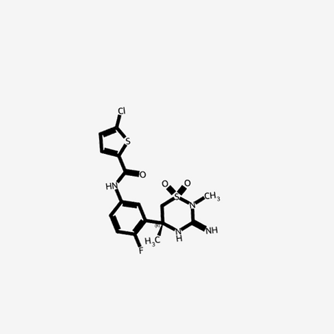 CN1C(=N)N[C@](C)(c2cc(NC(=O)c3ccc(Cl)s3)ccc2F)CS1(=O)=O